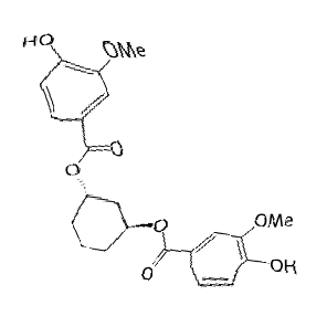 COc1cc(C(=O)O[C@H]2CCC[C@H](OC(=O)c3ccc(O)c(OC)c3)C2)ccc1O